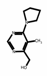 Cc1c(CO)ncnc1N1CCCC1